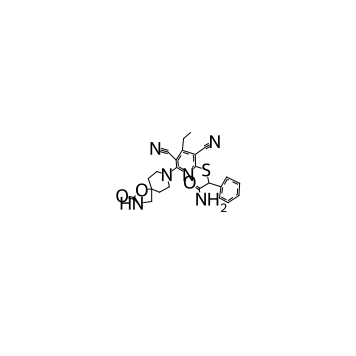 CCc1c(C#N)c(SC(C(N)=O)c2ccccc2)nc(N2CCC3(CC2)CNC(=O)O3)c1C#N